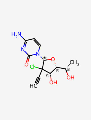 C#CC1(Cl)[C@@H](O)[C@@H]([C@H](C)O)O[C@H]1n1ccc(N)nc1=O